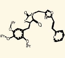 CC(C)Oc1cc(OC(C)C)c(OC(C)C)cc1CC1SC(=O)N(Cc2coc(C=Cc3ccccc3)n2)C1=O